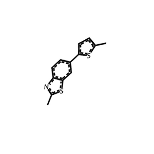 Cc1ccc(-c2ccc3nc(C)sc3c2)s1